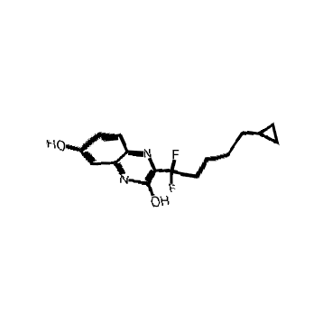 Oc1ccc2nc(C(F)(F)CCCCC3CC3)c(O)nc2c1